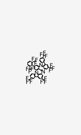 N#Cc1c(-n2c3ccc(C(F)(F)F)cc3c3cc(C(F)(F)F)ccc32)cc(-c2c(C(F)(F)F)cccc2C(F)(F)F)cc1-n1c2ccc(C(F)(F)F)cc2c2cc(C(F)(F)F)ccc21